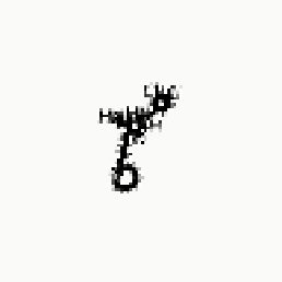 N=Cc1nc(NCc2ccc(Cl)c(Cl)c2)[nH]c(=O)c1CCCCCC1CCCCCCCO1